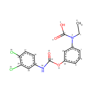 CCN(C(=O)O)c1cccc(OC(=O)Nc2ccc(Cl)c(Cl)c2)c1